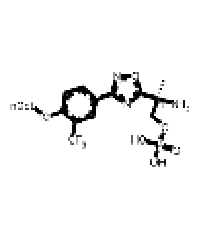 CCCCCCCCOc1ccc(-c2noc([C@@](C)(N)COP(=O)(O)O)n2)cc1C(F)(F)F